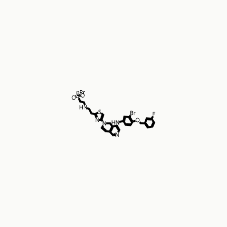 CCCS(=O)(=O)CCNCCc1nc(N2C=Cc3cncc(Nc4ccc(OCc5cccc(F)c5)c(Br)c4)c3C2)cs1